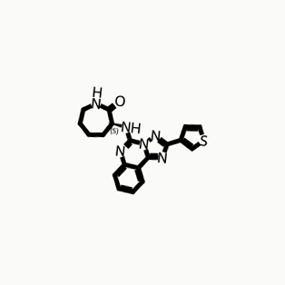 O=C1NCCCC[C@@H]1Nc1nc2ccccc2c2nc(-c3ccsc3)nn12